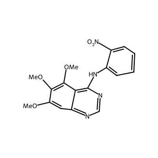 COc1cc2ncnc(Nc3ccccc3[N+](=O)[O-])c2c(OC)c1OC